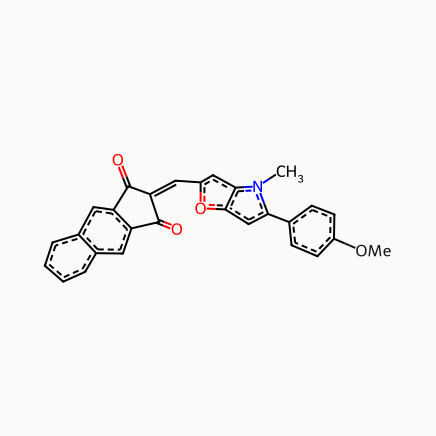 COc1ccc(-c2cc3oc(C=C4C(=O)c5cc6ccccc6cc5C4=O)cc3n2C)cc1